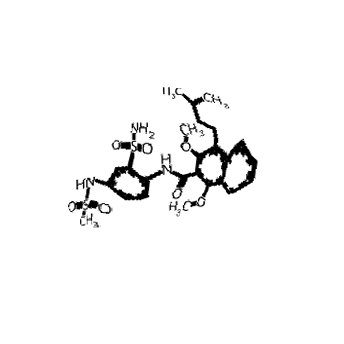 COc1c(C(=O)Nc2ccc(NS(C)(=O)=O)cc2S(N)(=O)=O)c(OC)c2ccccc2c1CCC(C)C